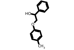 Cc1ccc(OCC(O)c2ccccc2)cc1